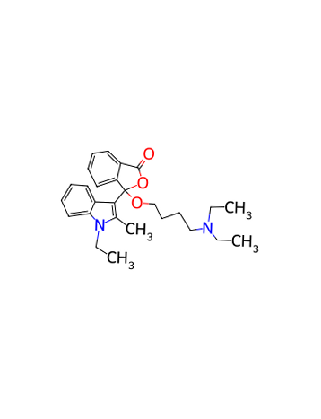 CCN(CC)CCCCOC1(c2c(C)n(CC)c3ccccc23)OC(=O)c2ccccc21